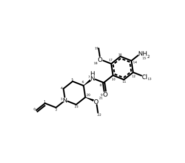 C=CCN1CC[C@@H](NC(=O)c2cc(Cl)c(N)cc2OC)[C@@H](OC)C1